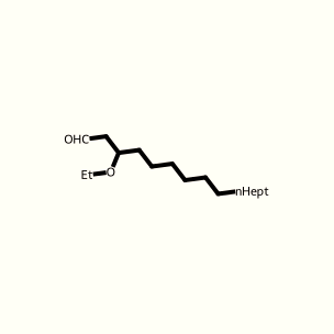 CCCCCCCCCCCCCC(CC=O)OCC